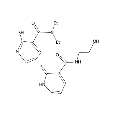 CCN(CC)C(=O)c1cccnc1S.O=C(NCCO)c1ccc[nH]c1=S